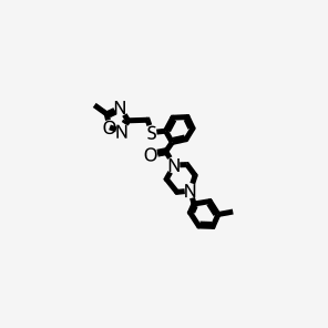 Cc1cccc(N2CCN(C(=O)c3ccccc3SCc3noc(C)n3)CC2)c1